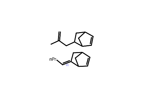 C=C(C)CC1CC2C=CC1C2.CCC/C=C1\CC2C=CC1C2